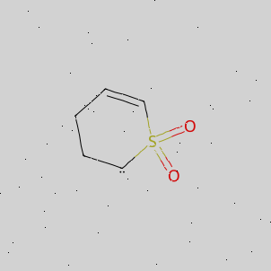 O=S1(=O)[C]CCC=C1